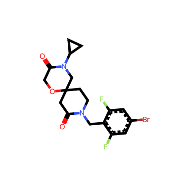 O=C1CC2(CCN1Cc1c(F)cc(Br)cc1F)CN(C1CC1)C(=O)CO2